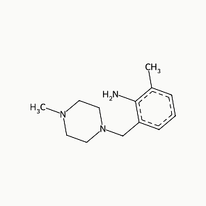 Cc1cccc(CN2CCN(C)CC2)c1N